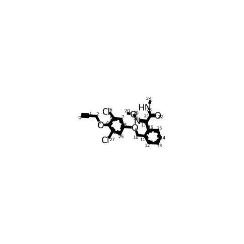 C#CCOc1c(Cl)cc(OCc2ccccc2C(=NOC)C(=O)NC)cc1Cl